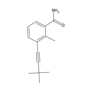 Cc1c(C#CC(C)(C)C)cccc1C(N)=O